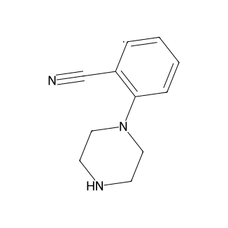 N#Cc1[c]cccc1N1CCNCC1